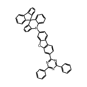 c1ccc(-c2nc(-c3ccccc3)nc(-c3ccc4c(c3)oc3cc(N5c6ccccc6C6(c7ccccc7-c7ccccc76)c6ccccc65)ccc34)n2)cc1